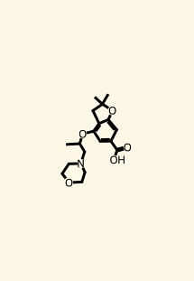 CC(CN1CCOCC1)Oc1cc(C(=O)O)cc2c1CC(C)(C)O2